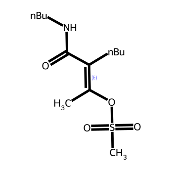 CCCCNC(=O)/C(CCCC)=C(\C)OS(C)(=O)=O